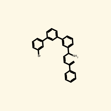 C=C(/C=C\C(N)c1cccc(-c2cccc(-c3cccc(Br)c3)c2)c1)c1ccccc1